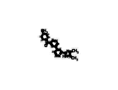 Cc1nc(-c2cc(-c3cncc(C(=O)N4CCN(C)CC4)c3)ccn2)[nH]c1C